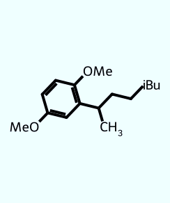 CCC(C)CCC(C)c1cc(OC)ccc1OC